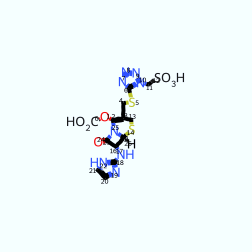 O=C(O)OC1=C(CSc2nnnn2CS(=O)(=O)O)CS[C@H]2C(Nc3ncc[nH]3)C(=O)N12